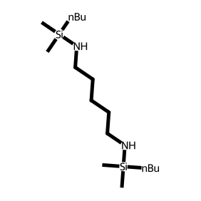 CCCC[Si](C)(C)NCCCCCN[Si](C)(C)CCCC